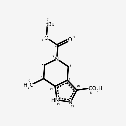 CC1CN(C(=O)OC(C)(C)C)Cc2c(C(=O)O)n[nH]c21